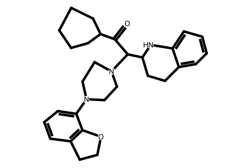 O=C(C1CCCCC1)C(C1CCc2ccccc2N1)N1CCN(c2cccc3c2OCC3)CC1